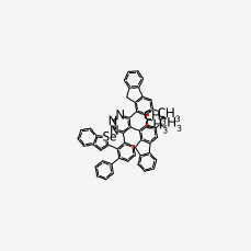 Cc1cc2c(c(-c3nnnc(-c4cccc(-c5ccccc5)c4-c4cc5ccccc5[se]4)c3-c3c(C)c(C)cc4c3Cc3ccccc3-4)c1C)Cc1ccccc1-2